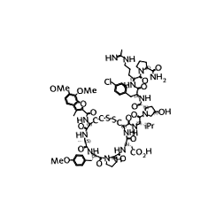 COc1ccc(C[C@@H]2NC(=O)[C@H](C)NC(=O)[C@H](NC(=O)c3oc4c(OC)c(OC)ccc4c3C)CCSSC[C@@H](C(=O)N[C@H](C(=O)N3C[C@H](O)C[C@H]3C(=O)N[C@@H](Cc3ccc(Cl)cc3)C(=O)N[C@@H](CCCNC(C)=N)C(=O)N3CCC[C@H]3C(N)=O)C(C)C)NC(=O)[C@H](CC(=O)O)NC(=O)[C@@H]3CCCN3C2=O)cc1